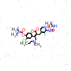 CCCN(C)Cc1c(Cc2ccnc(NS(=O)(=O)NC)c2F)c(=O)oc2cc(OC(=O)N(C)C)c(Cl)cc12